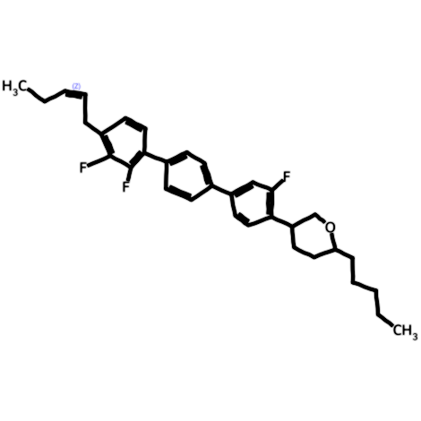 CC/C=C\Cc1ccc(-c2ccc(-c3ccc(C4CCC(CCCCC)OC4)c(F)c3)cc2)c(F)c1F